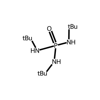 CC(C)(C)NP(=O)(NC(C)(C)C)NC(C)(C)C